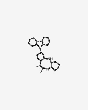 Cc1nc2ccccc2[nH]c2cc(-n3c4ccccc4c4ccccc43)ccc2n1C